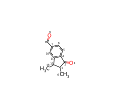 CC1C(=O)c2ccc(C=O)cc2C1C